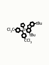 CC(C)(C)c1ccc2c(c1)-c1cc(C(C)(C)C)c[c]([Zr]([C]3=CC=CC3)=[C](c3ccc(C(Cl)(Cl)Cl)cc3)c3ccc(C(Cl)(Cl)Cl)cc3)c1C2